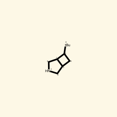 CC(C)(C)C1CC2CNCC21